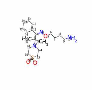 CC(C)(C(=NOCCCCN)c1ccccc1)N1CCS(=O)(=O)CC1